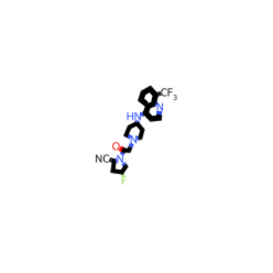 N#CC1C[C@H](F)CN1C(=O)CN1CCC(Nc2ccnc3c(C(F)(F)F)cccc23)CC1